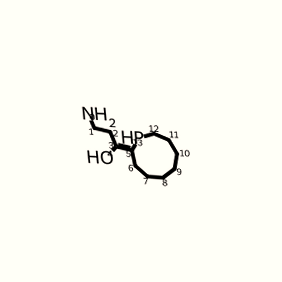 NCCC(O)=C1CCCCCCCP1